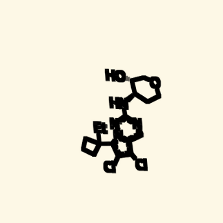 CCC1(c2c(Cl)c(Cl)c3cnc(N[C@@H]4CCOC[C@H]4O)nn23)CCC1